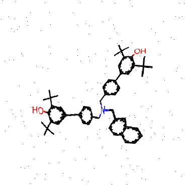 CC(C)(C)c1cc(-c2ccc(CN(Cc3ccc(-c4cc(C(C)(C)C)c(O)c(C(C)(C)C)c4)cc3)Cc3ccc4ccccc4c3)cc2)cc(C(C)(C)C)c1O